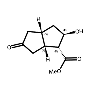 COC(=O)[C@@H]1[C@@H]2CC(=O)C[C@@H]2C[C@H]1O